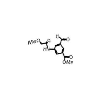 COCC(=O)Nc1cc(C(=O)Cl)cc(C(=O)OC)c1